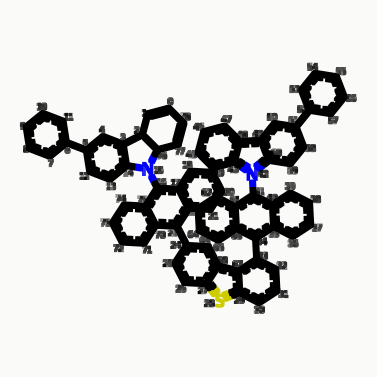 C1=CC2c3cc(-c4ccccc4)ccc3N(c3c4ccccc4c(-c4ccc5sc6cccc(-c7c8ccccc8c(-n8c9ccccc9c9cc(-c%10ccccc%10)ccc98)c8ccccc78)c6c5c4)c4ccccc34)C2C=C1